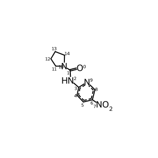 O=C(Nc1ccc([N+](=O)[O-])cn1)N1CCCC1